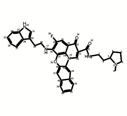 CN1CCCC1CCNC(=O)c1cn2c3c(c(NCCc4c[nH]c5ccccc45)c(F)cc3c1=O)Oc1cc3ccccc3cc1-2